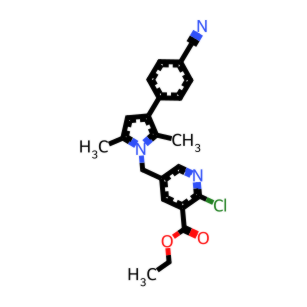 CCOC(=O)c1cc(Cn2c(C)cc(-c3ccc(C#N)cc3)c2C)cnc1Cl